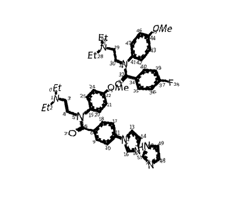 CCN(CC)CCN(C(=O)c1ccc(-n2ccnc2)cc1)c1ccc(OC)cc1.CCN(CC)CCN(C(=O)c1ccc(F)cc1)c1ccc(OC)cc1.c1c[nH]cn1